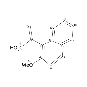 C=C(C(=O)O)c1c(OC)ccc2ccccc12